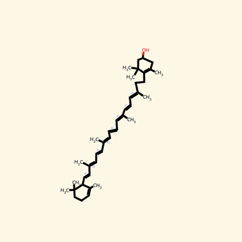 CC1=CCCC(C)(C)C1/C=C/C(C)=C/C=C/C(C)=C/C=C/C=C(C)/C=C/C=C(\C)CCC1=C(C)CC(O)CC1(C)C